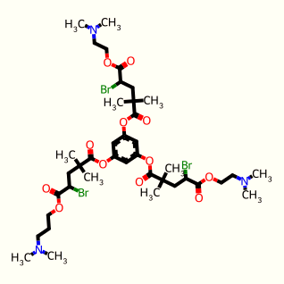 CN(C)CCCOC(=O)C(Br)CC(C)(C)C(=O)Oc1cc(OC(=O)C(C)(C)CC(Br)C(=O)OCCN(C)C)cc(OC(=O)C(C)(C)CC(Br)C(=O)OCCN(C)C)c1